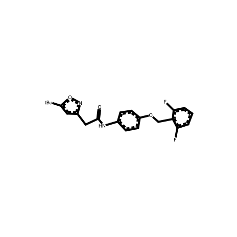 CC(C)(C)c1cc(CC(=O)Nc2ccc(OCc3c(F)cccc3F)cc2)no1